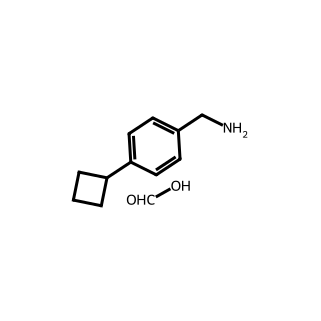 NCc1ccc(C2CCC2)cc1.O=CO